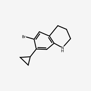 Brc1cc2c(cc1C1CC1)NCCC2